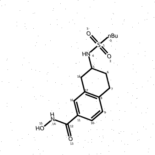 CCCCS(=O)(=O)NC1CCc2ccc(C(=O)NO)cc2C1